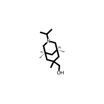 CC(C)N1C[C@@]2(C)CC(C)(CO)C[C@@](C)(C1)C2